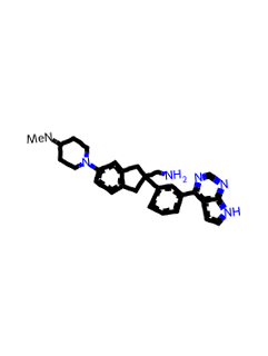 CNC1CCN(c2ccc3c(c2)CC(CN)(c2cccc(-c4ncnc5[nH]ccc45)c2)C3)CC1